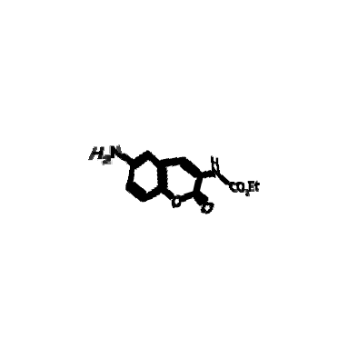 CCOC(=O)Nc1cc2cc(N)ccc2oc1=O